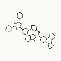 c1ccc(-c2nc(-c3ccccc3)nc(-c3cccc(-c4cccc5nc(-c6ccc7c8ccccc8c8ccccc8c7c6)c6oc7ccccc7c6c45)c3)n2)cc1